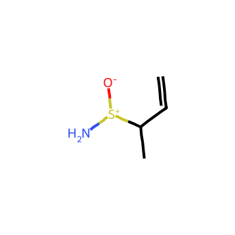 C=CC(C)[S+](N)[O-]